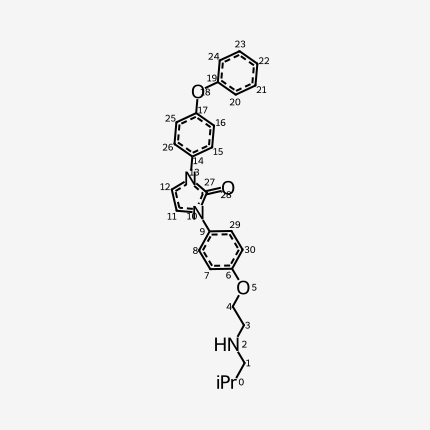 CC(C)CNCCOc1ccc(-n2ccn(-c3ccc(Oc4ccccc4)cc3)c2=O)cc1